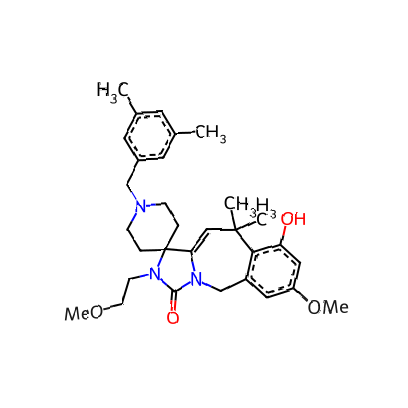 COCCN1C(=O)N2Cc3cc(OC)cc(O)c3C(C)(C)C=C2C12CCN(Cc1cc(C)cc(C)c1)CC2